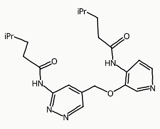 CC(C)CCC(=O)Nc1cc(COc2cnccc2NC(=O)CCC(C)C)cnn1